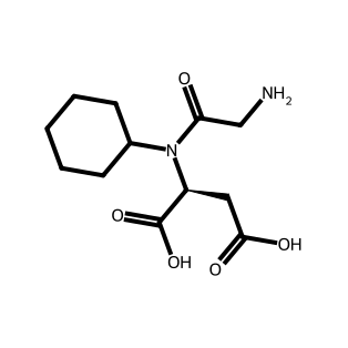 NCC(=O)N(C1CCCCC1)[C@@H](CC(=O)O)C(=O)O